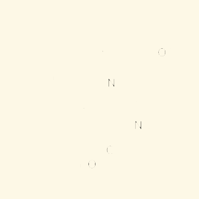 CCCN1CCOCC1N=C=O